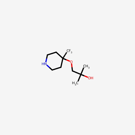 CC(C)(O)COC1(C(F)(F)F)CCNCC1